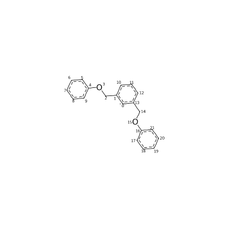 [c]1c(COc2ccccc2)cccc1COc1ccccc1